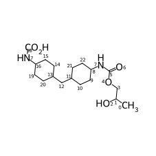 CC(O)COC(=O)NC1CCC(CC2CCC(NC(=O)O)CC2)CC1